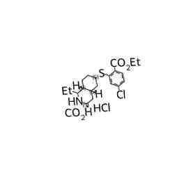 CCOC(=O)c1ccc(Cl)cc1S[C@H]1CC[C@H]2C(CC)N[C@H](C(=O)O)C[C@H]2C1.Cl